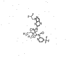 CC(C)N(C)C1(C(=O)N(C=O)c2cc(C(F)(F)F)ccn2)CN(c2cnc3cnn(CC(F)F)c3n2)C1